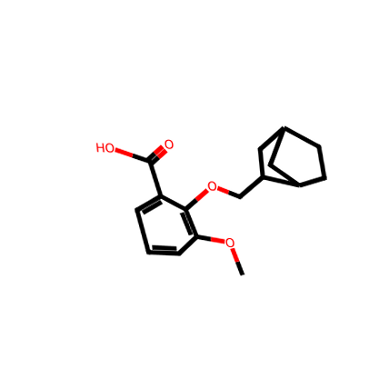 COc1cccc(C(=O)O)c1OCC1CC2CCC1C2